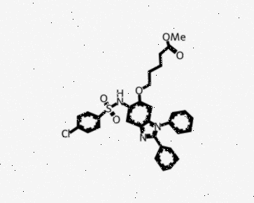 COC(=O)CCCCOc1cc2c(cc1NS(=O)(=O)c1ccc(Cl)cc1)nc(-c1ccccc1)n2-c1ccccc1